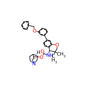 CC1(C)COc2cc(-c3cccc(OCc4ccccc4)c3)ccc2C1NC(=O)O[C@H]1CN2CCC1CC2